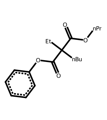 CCCCC(CC)(C(=O)OCCC)C(=O)Oc1ccccc1